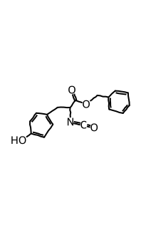 O=C=NC(Cc1ccc(O)cc1)C(=O)OCc1ccccc1